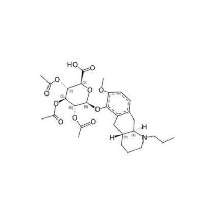 CCCN1CCC[C@@H]2Cc3c(ccc(OC)c3O[C@@H]3O[C@H](C(=O)O)[C@@H](OC(C)=O)[C@H](OC(C)=O)[C@H]3OC(C)=O)C[C@H]21